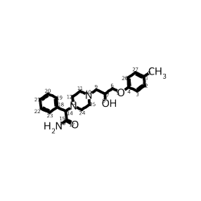 Cc1ccc(OCC(O)CN2CCN(C(C(N)=O)c3ccccc3)CC2)cc1